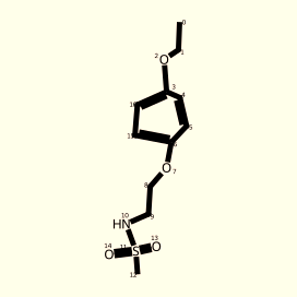 CCOc1ccc(OCCNS(C)(=O)=O)cc1